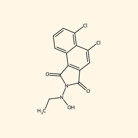 CCN(O)N1C(=O)c2cc(Cl)c3c(Cl)cccc3c2C1=O